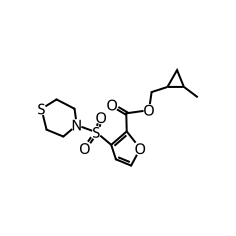 CC1CC1COC(=O)c1occc1S(=O)(=O)N1CCSCC1